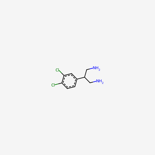 NCC(CN)c1ccc(Cl)c(Cl)c1